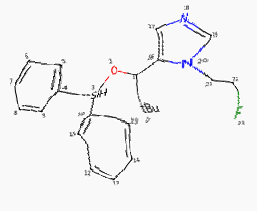 CC(C)(C)C(O[SiH](c1ccccc1)c1ccccc1)c1cncn1CCF